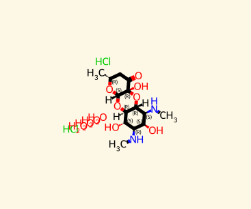 CN[C@@H]1[C@H](O)[C@H](NC)[C@H]2O[C@@]3(O)C(=O)C[C@@H](C)O[C@H]3O[C@@H]2[C@H]1O.Cl.Cl.O.O.O.O